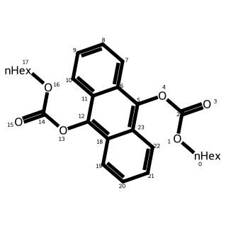 CCCCCCOC(=O)Oc1c2ccccc2c(OC(=O)OCCCCCC)c2ccccc12